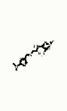 CN(C)c1ncc(CSCCNc2n[s+]([O-])nc2N)s1